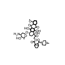 COc1cccc2c1C(=O)c1c(O)c3c(c(O)c1C2=O)[C@@](O)(C(=O)COC(=O)C1C2CCC(O2)C1C(=O)N1CCN(C)CC1)CC[C@@H]3O[C@H]1C[C@H](N)[C@H](O)[C@H](C)O1